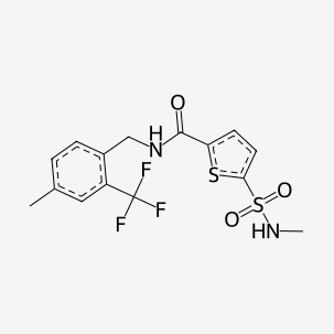 CNS(=O)(=O)c1ccc(C(=O)NCc2ccc(C)cc2C(F)(F)F)s1